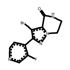 O=C1NCCn2nc(-c3ccncc3F)c(Br)c21